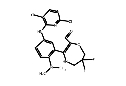 CN(C)c1ccc(Nc2nc(Cl)ncc2Cl)cc1C1=C(C=O)OCC(F)(F)CN1